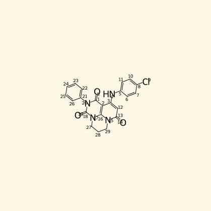 O=c1c2c(Nc3ccc(Cl)cc3)cc(=O)n3c2n(c(=O)n1-c1ccccc1)CCC3